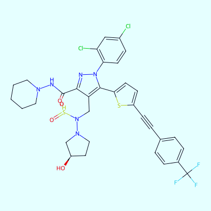 O=C(NN1CCCCC1)c1nn(-c2ccc(Cl)cc2Cl)c(-c2ccc(C#Cc3ccc(C(F)(F)F)cc3)s2)c1CN(N1CC[C@@H](O)C1)[SH](=O)=O